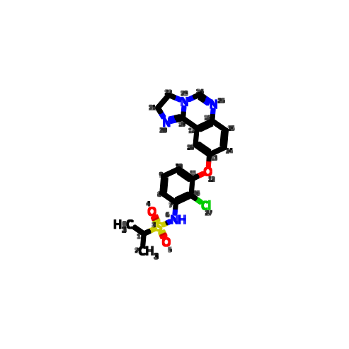 CC(C)S(=O)(=O)Nc1cccc(Oc2ccc3c(c2)C2=NCCN2C=N3)c1Cl